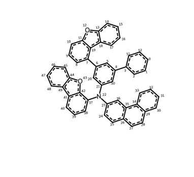 c1ccc(-c2cc(-c3cccc4oc5ccccc5c34)cc(N(c3ccc4ccc5ccccc5c4c3)c3cccc4c3oc3ccccc34)c2)cc1